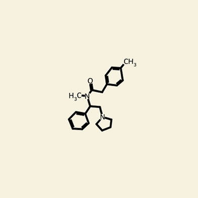 Cc1ccc(CC(=O)N(C)C(CN2CCCC2)c2ccccc2)cc1